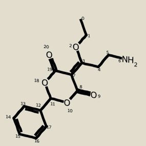 CCOC(CCN)=C1C(=O)OC(c2ccccc2)OC1=O